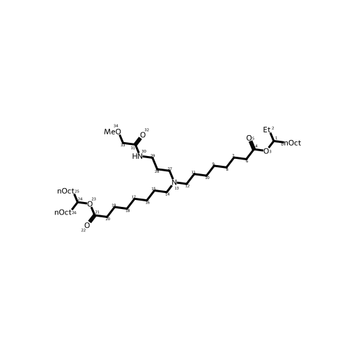 CCCCCCCCC(CC)OC(=O)CCCCCCCN(CCCCCCCC(=O)OC(CCCCCCCC)CCCCCCCC)CCCNC(=O)COC